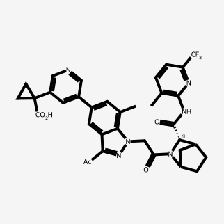 CC(=O)c1nn(CC(=O)N2C3CCC(C3)[C@H]2C(=O)Nc2nc(C(F)(F)F)ccc2C)c2c(C)cc(-c3cncc(C4(C(=O)O)CC4)c3)cc12